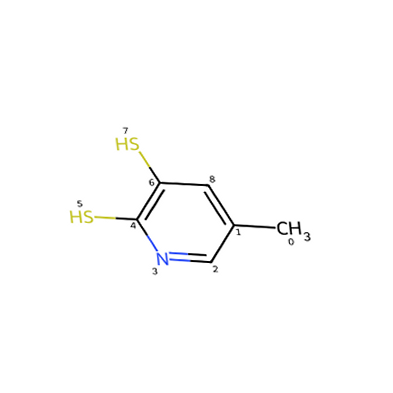 Cc1cnc(S)c(S)c1